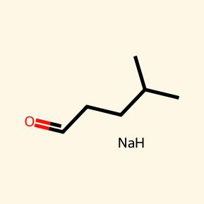 CC(C)CCC=O.[NaH]